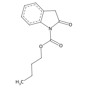 CCCCOC(=O)N1C(=O)Cc2ccccc21